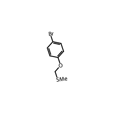 CSCOc1ccc(Br)cc1